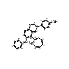 Oc1ccc(-c2cnc3ccc(Nc4ccccc4)c(C4=CC=CC=CN4)c3n2)cc1